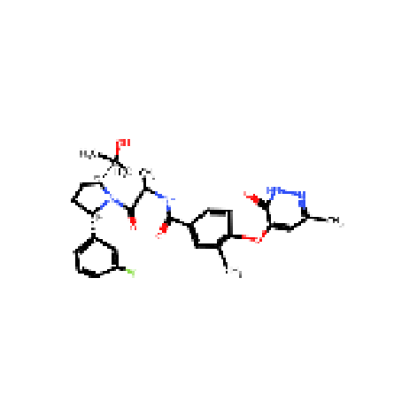 Cc1cc(Oc2ccc(C(=O)NC(C)C(=O)N3[C@H](c4cccc(F)c4)CC[C@@H]3C(C)(C)O)cc2C)c(=O)[nH]n1